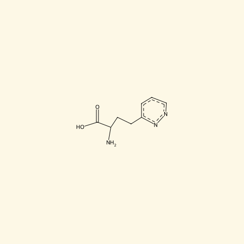 NC(CCc1cccnn1)C(=O)O